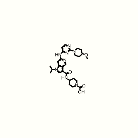 COC1CCN(c2nccc(Nc3cc4c(cn3)c(C(=O)NC3CCN(C(=O)O)CC3)cn4C(C)C)n2)CC1